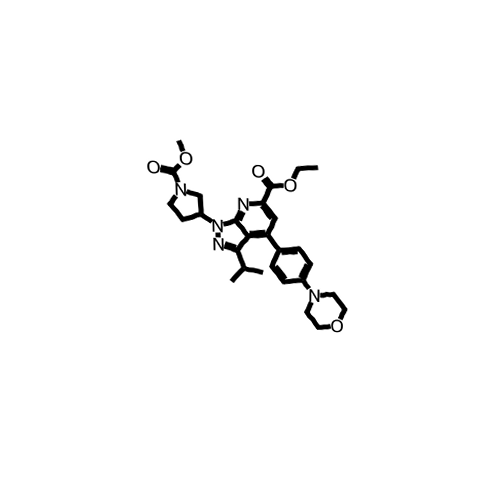 CCOC(=O)c1cc(-c2ccc(N3CCOCC3)cc2)c2c(C(C)C)nn(C3CCN(C(=O)OC)C3)c2n1